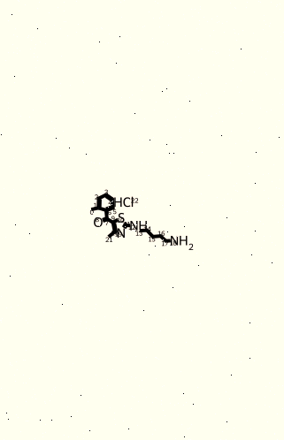 Cc1ccccc1C(=O)c1sc(NCCCCCN)nc1C.Cl